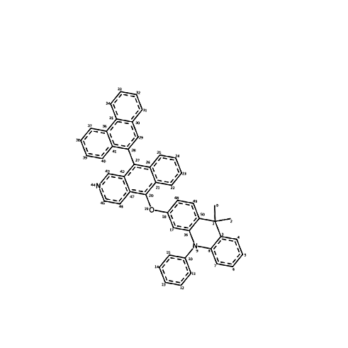 CC1(C)c2ccccc2N(c2ccccc2)c2cc(Oc3c4ccccc4c(-c4cc5ccccc5c5ccccc45)c4cnccc34)ccc21